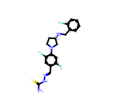 NC(=S)NN=Cc1cc(F)c(N2CC[C@@H](NCc3ccccc3F)C2)cc1F